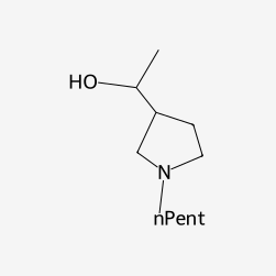 CCCCCN1CCC(C(C)O)C1